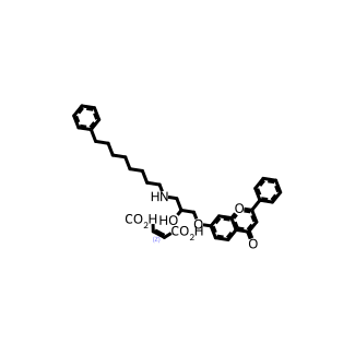 O=C(O)/C=C\C(=O)O.O=c1cc(-c2ccccc2)oc2cc(OCC(O)CNCCCCCCCCc3ccccc3)ccc12